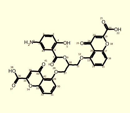 Nc1ccc(O)c(C(=O)OC(COc2cccc3oc(C(=O)O)cc(=O)c23)COc2cccc3oc(C(=O)O)cc(=O)c23)c1